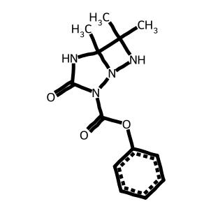 CC1(C)NN2N(C(=O)Oc3ccccc3)C(=O)NC21C